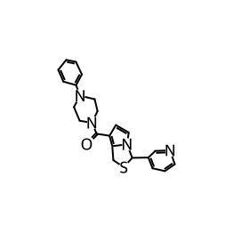 O=C(c1ccn2c1CSC2c1cccnc1)N1CCN(c2ccccc2)CC1